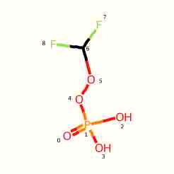 O=P(O)(O)OOC(F)F